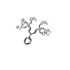 CC[Si](C=CC(C=C[Si](CC)(CC)CC)c1ccccc1)(CC)CC